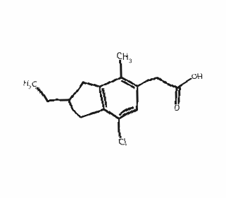 CCC1Cc2c(Cl)cc(CC(=O)O)c(C)c2C1